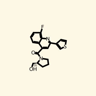 O=C(c1cc(-c2ccsc2)nc2c(F)cccc12)N1CCC[C@H]1CO